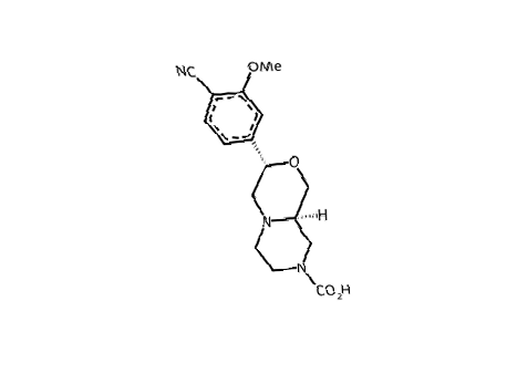 COc1cc([C@H]2CN3CCN(C(=O)O)C[C@@H]3CO2)ccc1C#N